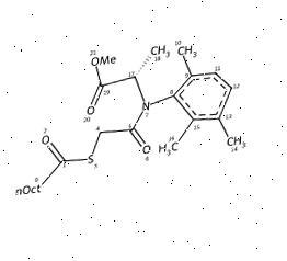 CCCCCCCCC(=O)SCC(=O)N(c1c(C)ccc(C)c1C)[C@@H](C)C(=O)OC